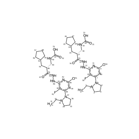 CCN1CCCN1c1nc(Cl)nc(NNC(=O)[C@@H](CNC(=O)O)CC2CCCC2)c1F.CCN1CCCN1c1nc(Cl)nc(NNC(=O)[C@@H](CNC(=O)O)CC2CCCC2)c1F